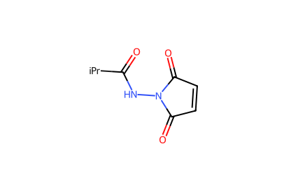 CC(C)C(=O)NN1C(=O)C=CC1=O